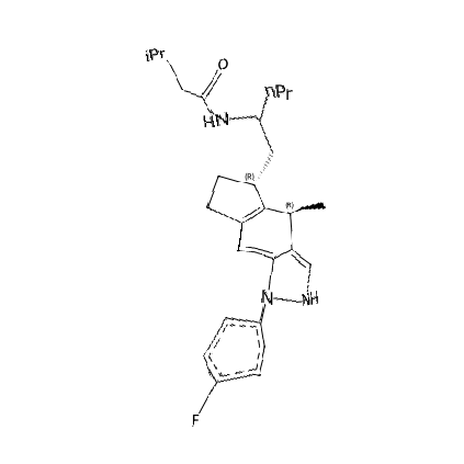 CCCC(C[C@H]1CCC2=C1[C@@H](C)C1=CNN(c3ccc(F)cc3)C1=C2)NC(=O)CC(C)C